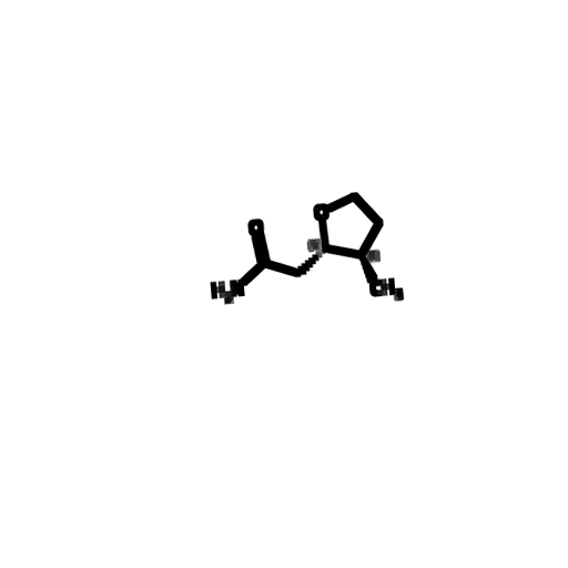 C[C@@H]1CCO[C@H]1CC(N)=O